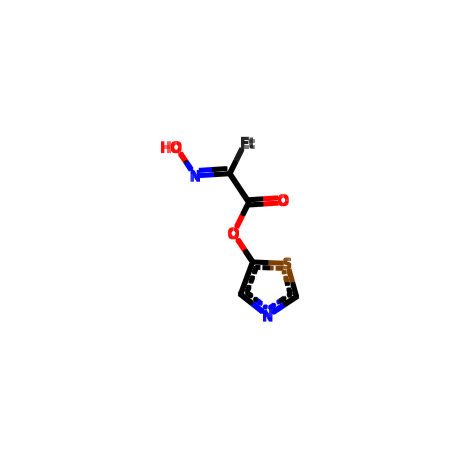 CCC(=NO)C(=O)Oc1cncs1